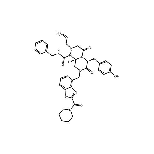 C=CCN1CC(=O)N2[C@@H](Cc3ccc(O)cc3)C(=O)N(Cc3cccc4sc(C(=O)N5CCCCC5)nc34)C[C@@H]2N1C(=O)NCc1ccccc1